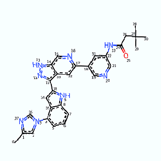 Cc1cn(-c2cccc3[nH]c(-c4n[nH]c5cnc(-c6cncc(NC(=O)CC(C)(C)C)c6)cc45)cc23)cn1